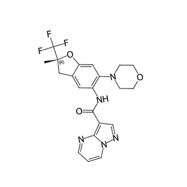 C[C@]1(C(F)(F)F)Cc2cc(NC(=O)c3cnn4cccnc34)c(N3CCOCC3)cc2O1